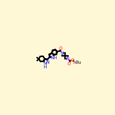 CCCCOC(=O)N1CC2(C1)CN(C(=O)c1ccc3cc(-c4n[nH]c5c4CCC(C)(C)C5)[nH]c3c1)C2